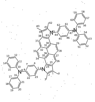 Cc1c(C)n(-c2ccc(N(c3ccccc3)c3ccccc3)cc2)c2c1cc1ccc3c4c(ccc2c14)cc1c(C)c(C)n(-c2ccc(N(c4ccccc4)c4ccccc4)cc2)c13